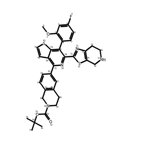 COc1cc(F)ccc1-c1c(-c2nc3c(s2)CNCC3)nc(-c2ccc3c(c2)CCN(C(=O)OC(C)(C)C)C3)c2ccsc12